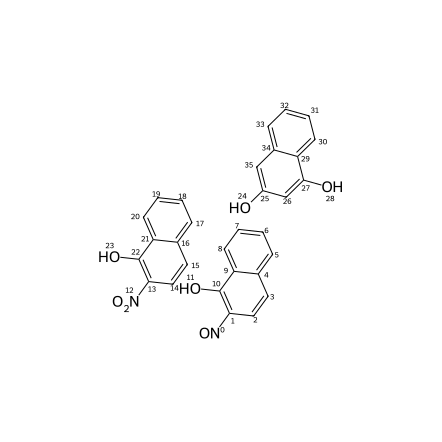 O=Nc1ccc2ccccc2c1O.O=[N+]([O-])c1ccc2ccccc2c1O.Oc1cc(O)c2ccccc2c1